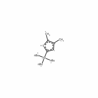 CCC[CH2][Sn]([CH2]CCC)([CH2]CCC)[c]1cc(C)c(C)s1